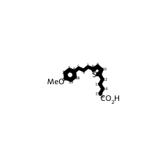 COc1ccc(CCCc2ccc(CCCCC(=O)O)s2)cc1